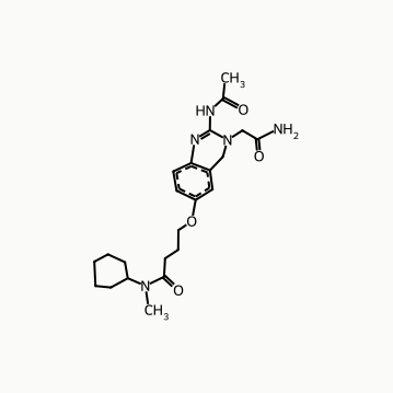 CC(=O)NC1=Nc2ccc(OCCCC(=O)N(C)C3CCCCC3)cc2CN1CC(N)=O